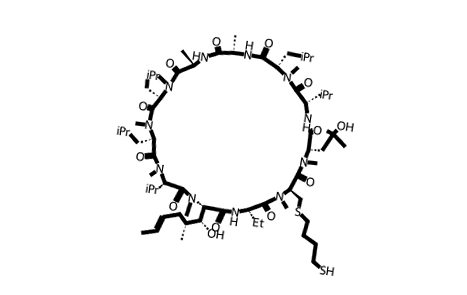 C/C=C/C[C@@H](C)[C@@H](O)[C@H]1C(=O)N[C@@H](CC)C(=O)N(C)[C@H](CSCCCCS)C(=O)N(C)[C@@H](CC(C)(C)O)C(=O)N[C@@H](C(C)C)C(=O)N(C)[C@@H](CC(C)C)C(=O)N[C@@H](C)C(=O)N[C@H](C)C(=O)N(C)[C@@H](CC(C)C)C(=O)N(C)[C@@H](CC(C)C)C(=O)N(C)[C@@H](C(C)C)C(=O)N1C